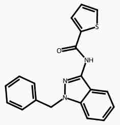 O=C(Nc1nn(Cc2ccccc2)c2ccccc12)c1cccs1